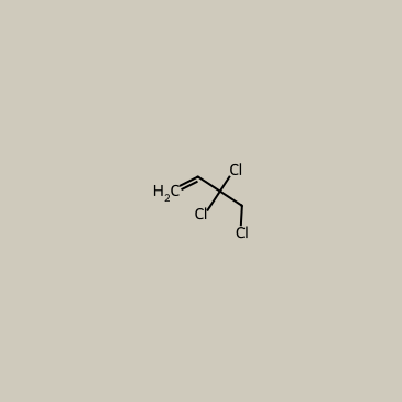 C=CC(Cl)(Cl)CCl